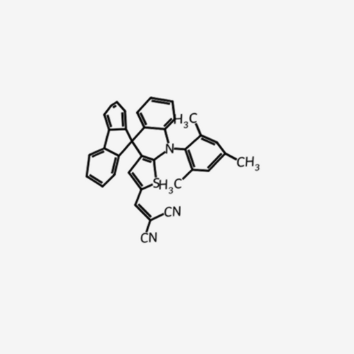 Cc1cc(C)c(N2c3ccccc3C3(c4ccccc4-c4ccccc43)c3cc(C=C(C#N)C#N)sc32)c(C)c1